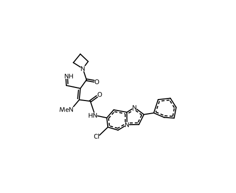 CN/C(C(=O)Nc1cc2nc(-c3ccccc3)cn2cc1Cl)=C(\C=N)C(=O)N1CCC1